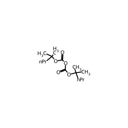 CCCC(C)(C)OC(=O)OC(=O)OC(C)(C)CCC